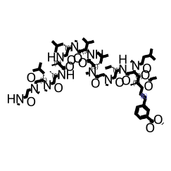 CC[C@H](NC(=O)C([C@H](OC(C)=O)[C@H](C)C/C=C/c1cccc(C(=O)OC)c1)N(C)C(=O)CC(C)C)C(=O)N(C)CC(=O)N(C)[C@@H](CC(C)C)C(=O)N[C@H](C(=O)N(C)[C@@H](CC(C)C)C(=O)N[C@H](C)C(=O)N[C@@H](C)C(=O)N(C)[C@@H](CC(C)C)C(=O)N(C)CC(=O)NC)C(C)C